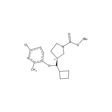 Cc1nc(Cl)ccc1OC(C1CCC1)[C@H]1CCN(C(=O)OC(C)(C)C)C1